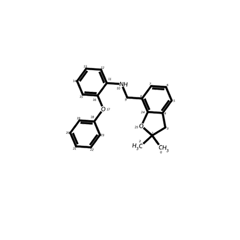 CC1(C)Cc2cccc(CNc3ccccc3Oc3ccccc3)c2O1